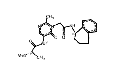 CN[C@@H](C)C(=O)Nc1cnc(C)n(CC(=O)N[C@@H]2CCCc3ccccc32)c1=O